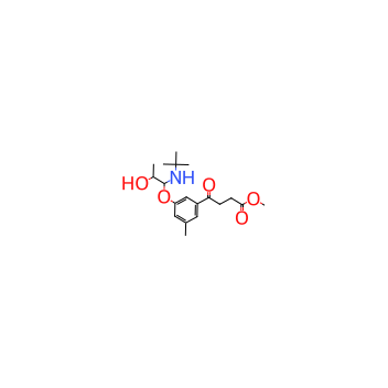 COC(=O)CCC(=O)c1cc(C)cc(OC(NC(C)(C)C)C(C)O)c1